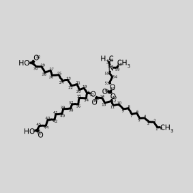 CCCCCCCCCCCCC(CCC(=O)OC(CCCCCCCCCCCCC(=O)O)CCCCCCCCCCCCC(=O)O)OC(=O)OCCCN(CC)CC